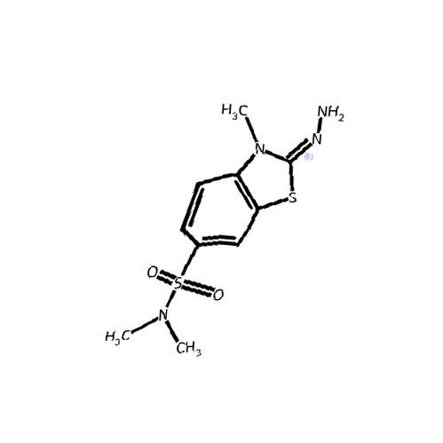 CN(C)S(=O)(=O)c1ccc2c(c1)s/c(=N/N)n2C